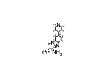 CC(C)C[C@@H](N)c1nc2ccc(-c3ccncc3)cc2n1C